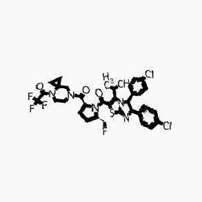 CC(C)C1=C(C(=O)N2[C@H](CF)CC[C@H]2C(=O)N2CCN(C(=O)C(F)(F)F)C3(CC3)C2)SC2=NC(c3ccc(Cl)cc3)C(c3ccc(Cl)cc3)N21